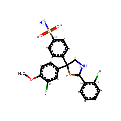 COc1ccc(C2(c3ccc(S(N)(=O)=O)cc3)CNC(c3ccccc3Cl)S2)cc1F